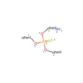 CCCCCOP(=S)(OCCCCC)OCCCCC.N